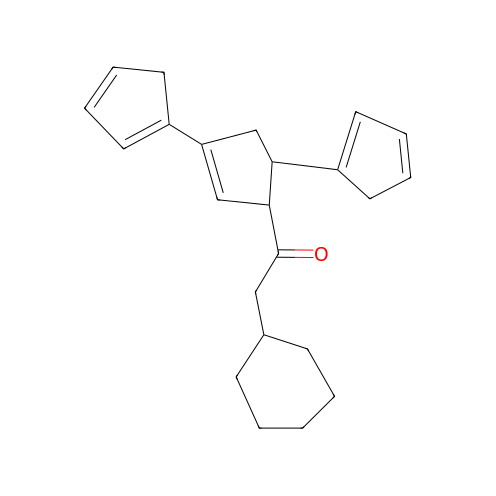 O=C(CC1CCCCC1)C1C=C(C2=CC=CC2)CC1C1=CC=CC1